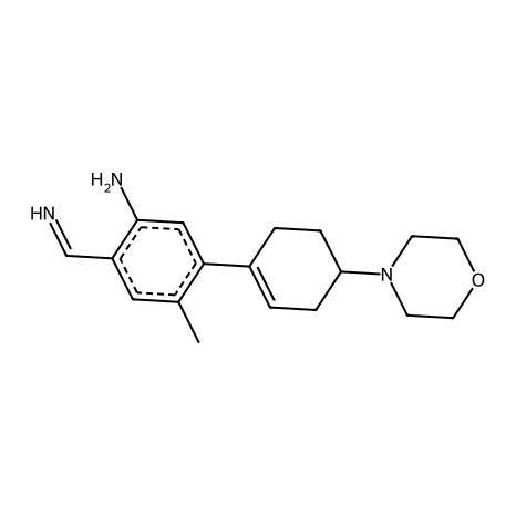 Cc1cc(C=N)c(N)cc1C1=CCC(N2CCOCC2)CC1